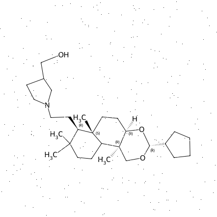 CC1(C)CCC2[C@]3(C)CO[C@@H](C4CCCC4)O[C@@H]3CC[C@@]2(C)[C@@H]1CCN1CCC(CO)C1